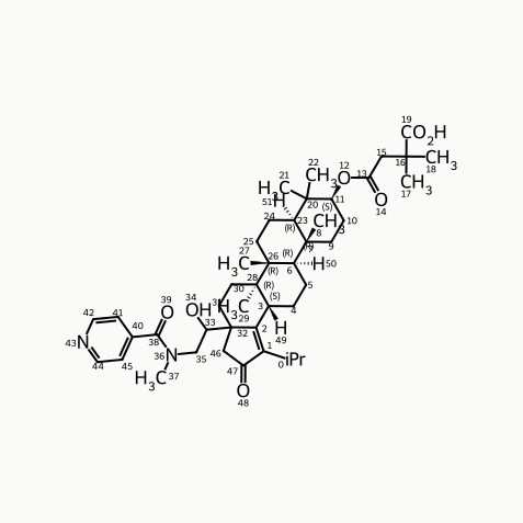 CC(C)C1=C2[C@H]3CC[C@@H]4[C@@]5(C)CC[C@H](OC(=O)CC(C)(C)C(=O)O)C(C)(C)[C@@H]5CC[C@@]4(C)[C@]3(C)CCC2(C(O)CN(C)C(=O)c2ccncc2)CC1=O